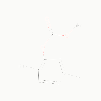 Cc1ccc(C(C)C)c(OC(=O)OC(C)C)c1